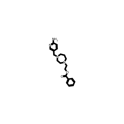 Nc1ccc(CN2CCCN(CCOC(=O)c3ccccc3)CC2)cn1